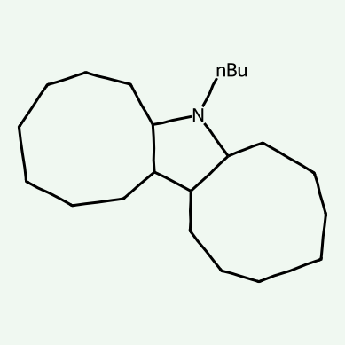 CCCCN1C2CCCCCCCC2C2CCCCCCCC21